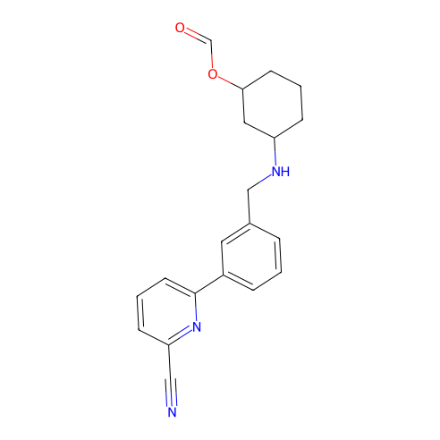 N#Cc1cccc(-c2cccc(CNC3CCCC(OC=O)C3)c2)n1